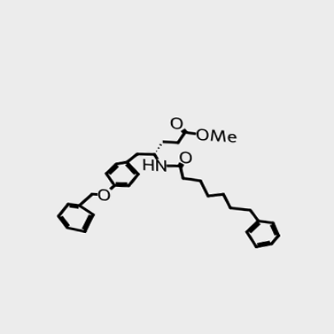 COC(=O)CC[C@@H](Cc1ccc(OCc2ccccc2)cc1)NC(=O)CCCCCCc1ccccc1